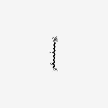 C/C=C/C(=O)CCCCCCCCCCCOS(=O)(=O)[O-].[Na+]